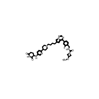 CC(C)(C)OC1CN(C(=O)NCc2ccc(-c3ncnn4cc(CCCCN5CCC(c6ccc(NC7CCC(=O)NC7=O)cn6)CC5)cc34)cc2F)C1